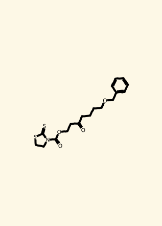 O=C(CCCCOCc1ccccc1)CCOC(=O)N1CCSC1=S